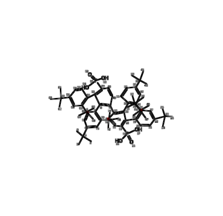 CC(C)(C)c1ccc(-c2c(-c3ccc(P(=O)(O)O)c(-c4ccc(C(C)(C)C)cc4C(C)(C)C)c3-c3ccc(C(C)(C)C)cc3C(C)(C)C)ccc(P(=O)(O)O)c2-c2ccc(C(C)(C)C)cc2C(C)(C)C)c(C(C)(C)C)c1